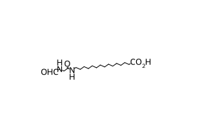 O=CNCC(=O)NCCCCCCCCCCCCCCC(=O)O